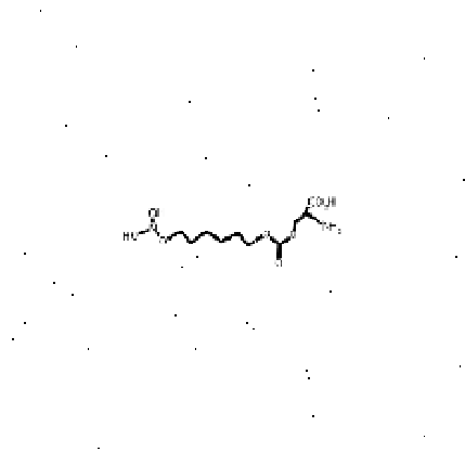 NC(COC(=O)OCCCCCCON(O)O)C(=O)O